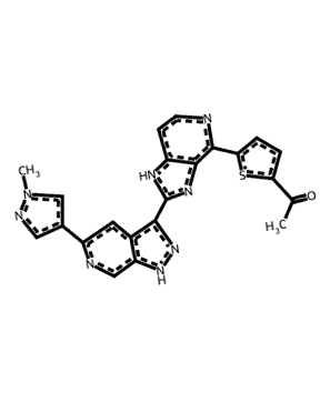 CC(=O)c1ccc(-c2nccc3[nH]c(-c4n[nH]c5cnc(-c6cnn(C)c6)cc45)nc23)s1